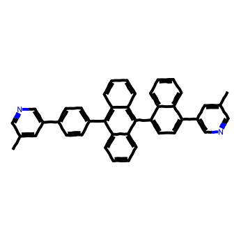 Cc1cncc(-c2ccc(-c3c4ccccc4c(-c4ccc(-c5cncc(C)c5)c5ccccc45)c4ccccc34)cc2)c1